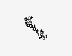 CC[C@H](C)[C@H](NC(=O)OC)C(=O)N1[C@@H](C)CC[C@H]1c1ncc(C2=CC3=COC4=CC5C(=CC=C6N=C([C@@H]7CC[C@H](C)N7C(=O)OC(C)(C)C)NC65)C=C4C3C=C2)[nH]1